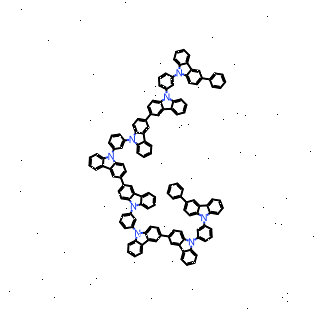 c1ccc(-c2ccc3c(c2)c2ccccc2n3-c2cccc(-n3c4ccccc4c4cc(-c5ccc6c(c5)c5ccccc5n6-c5cccc(-n6c7ccccc7c7cc(-c8ccc9c(c8)c8ccccc8n9-c8cccc(-n9c%10ccccc%10c%10cc(-c%11ccc%12c(c%11)c%11ccccc%11n%12-c%11cccc(-n%12c%13ccccc%13c%13cc(-c%14ccccc%14)ccc%13%12)c%11)ccc%109)c8)ccc76)c5)ccc43)c2)cc1